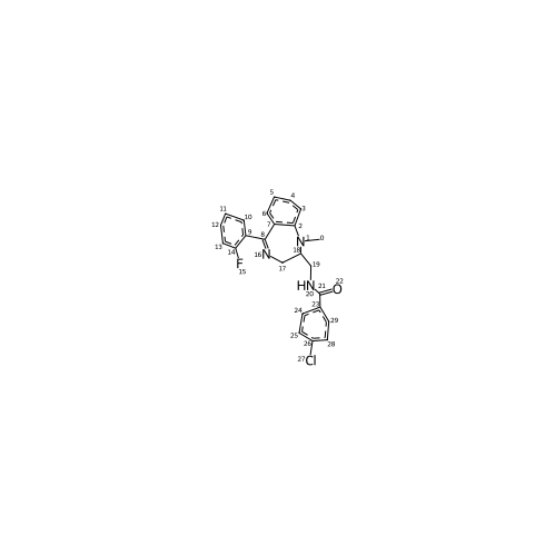 CN1c2ccccc2C(c2ccccc2F)=NCC1CNC(=O)c1ccc(Cl)cc1